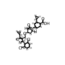 O=C(O)c1ccc(N2C(=O)[C@@H]3C[C@H]2C[C@H]3OCc2c(-c3c(Cl)cccc3Cl)noc2C2CC2)cc1C1CC1